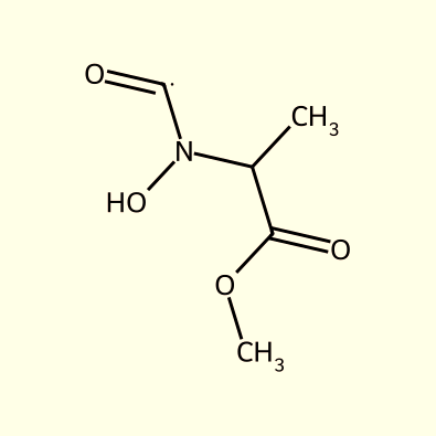 COC(=O)C(C)N(O)[C]=O